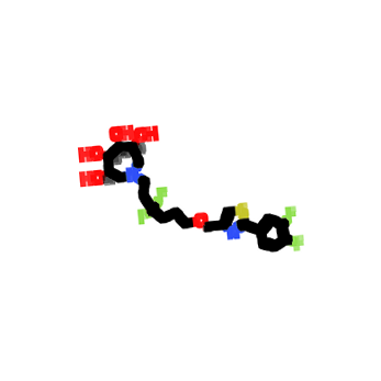 O[C@H]1[C@H](O)[C@@H](O)CN(CCC(F)(F)CCCOCc2csc(-c3ccc(F)c(F)c3)n2)C[C@@H]1O